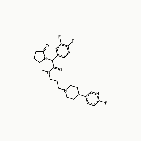 CN(CCCN1CCC(c2ccc(F)nc2)CC1)C(=O)C(c1ccc(F)c(F)c1)N1CCCC1=O